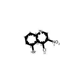 O=[N+]([O-])c1cnc2cccc(Br)c2c1Cl